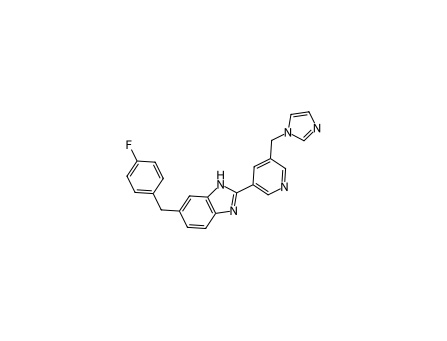 Fc1ccc(Cc2ccc3nc(-c4cncc(Cn5ccnc5)c4)[nH]c3c2)cc1